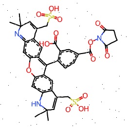 CC1(C)C=C(CS(=O)(=O)O)c2cc3c(cc2=N1)Oc1cc2c(cc1C=3c1ccc(C(=O)ON3C(=O)CCC3=O)cc1C(=O)O)C(CS(=O)(=O)O)=CC(C)(C)N2